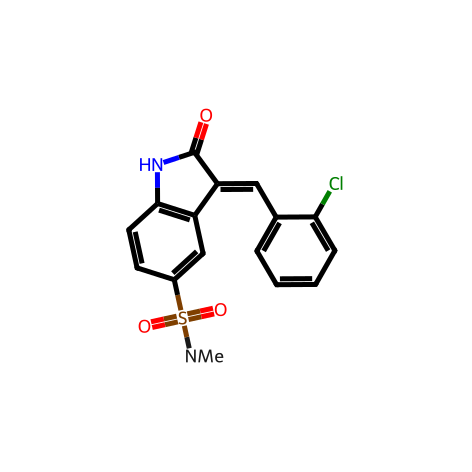 CNS(=O)(=O)c1ccc2c(c1)C(=Cc1ccccc1Cl)C(=O)N2